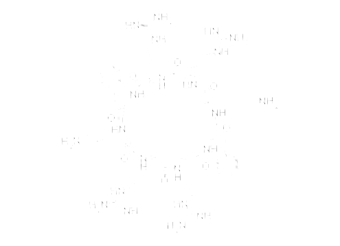 N=C(N)NCCC[C@@H]1NC(=O)[C@H](CCCCN)NC(=O)[C@H](Cc2ccccc2)NC(=O)[C@H](CCCNC(=N)N)NC(=O)[C@H](CCCNC(=N)N)NC(=O)[C@H](CCCCN)NC(=O)[C@H](Cc2ccccc2)NC(=O)[C@H](CCCNC(=N)N)NC1=O